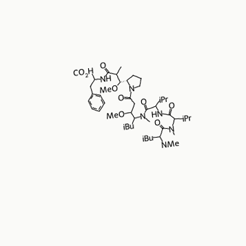 CCC(C)C(NC)C(=O)N(C)C(C(=O)NC(C(=O)N(C)C(C(C)CC)C(CC(=O)N1CCC[C@H]1C(OC)C(C)C(=O)NC(Cc1ccccc1)C(=O)O)OC)C(C)C)C(C)C